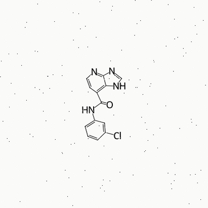 O=C(Nc1cccc(Cl)c1)c1ccnc2nc[nH]c12